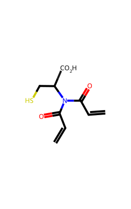 C=CC(=O)N(C(=O)C=C)C(CS)C(=O)O